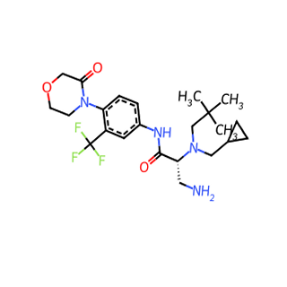 CC(C)(C)CN(CC1CC1)[C@H](CN)C(=O)Nc1ccc(N2CCOCC2=O)c(C(F)(F)F)c1